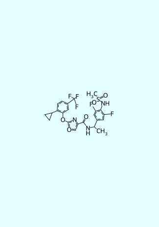 CC(NC(=O)c1coc(Oc2cc(C(F)(F)F)ccc2C2CC2)n1)c1cc(F)c(NS(C)(=O)=O)c(F)c1